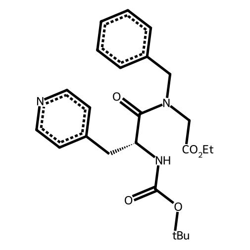 CCOC(=O)CN(Cc1ccccc1)C(=O)[C@@H](Cc1ccncc1)NC(=O)OC(C)(C)C